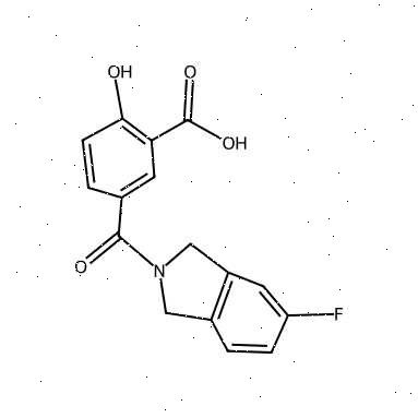 O=C(O)c1cc(C(=O)N2Cc3ccc(F)cc3C2)ccc1O